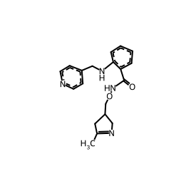 CC1=NCC(CONC(=O)c2ccccc2NCc2ccncc2)C1